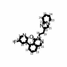 O=c1c2c(-c3cncc(F)c3)cccc2cnn1CCc1cn2ccccc2n1